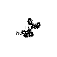 N#CC1C=CC2=C(C1)C1(C3=CCCC=C3OC3C=CC=CC31)C1C=CC(C3NC(c4ccccc4)=NC(C4C=CCCC4)N3)=CC21